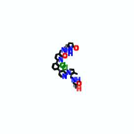 COc1nc(-c2cccc(-c3ccnc(-n4ccc(C)c4CNC[C@H](C)O)c3Cl)c2Cl)ccc1CNC[C@@H]1CCC(=O)N1